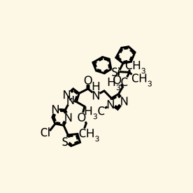 CCOCc1c(C(=O)NCc2c(CO[Si](c3ccccc3)(c3ccccc3)C(C)(C)C)ncn2C)cnn1-c1ncc(Cl)c(-c2cccs2)n1